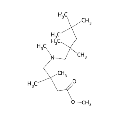 COC(=O)CC(C)(C)CN(C)CC(C)(C)CC(C)(C)C